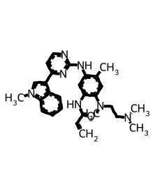 C=CC(=O)Nc1cc(Nc2nccc(-c3cn(C)c4ccccc34)n2)c(C)cc1N(C)CCN(C)C